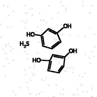 Oc1cccc(O)c1.Oc1cccc(O)c1.S